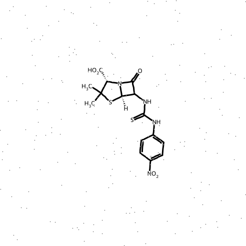 CC1(C)S[C@@H]2C(NC(=S)Nc3ccc([N+](=O)[O-])cc3)C(=O)N2[C@H]1C(=O)O